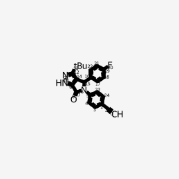 C#Cc1ccc(N2C(=O)c3[nH]nc(C(C)(C)C)c3C2c2ccc(F)cc2)cc1